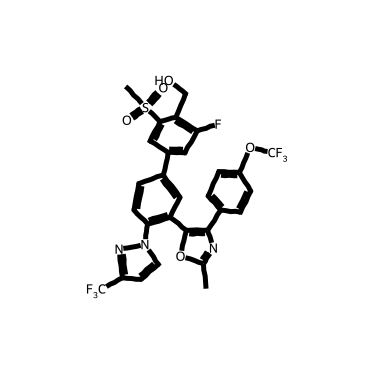 Cc1nc(-c2ccc(OC(F)(F)F)cc2)c(-c2cc(-c3cc(F)c(CO)c(S(C)(=O)=O)c3)ccc2-n2ccc(C(F)(F)F)n2)o1